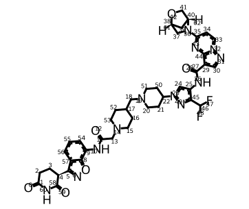 O=C1CC[C@@H](c2noc3c(NC(=O)CN4CCC(CN5CCC(n6cc(NC(=O)c7cnn8ccc(N9C[C@H]%10C[C@@H]9CO%10)nc78)c(C(F)F)n6)CC5)CC4)cccc23)C(=O)N1